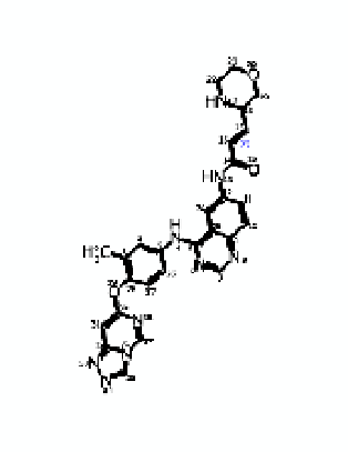 Cc1cc(Nc2ncnc3ccc(NC(=O)/C=C/C4COCCN4)cc23)ccc1Oc1cc2nncn2cn1